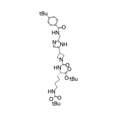 CC(C)(C)OC(=O)NCCCC[C@H](NC(=O)N1CC(c2cnc(CNC(=O)c3ccc(C(C)(C)C)cc3)[nH]2)C1)C(=O)OC(C)(C)C